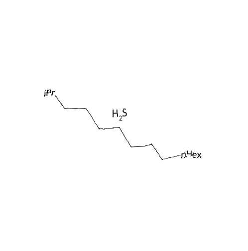 CCCCCCCCCCCCCC(C)C.S